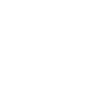 Cc1nc(-c2nnn(C)c2NC(=O)OC(C)C2CCC2)ccc1C#CC1(CC(=O)O)CC1